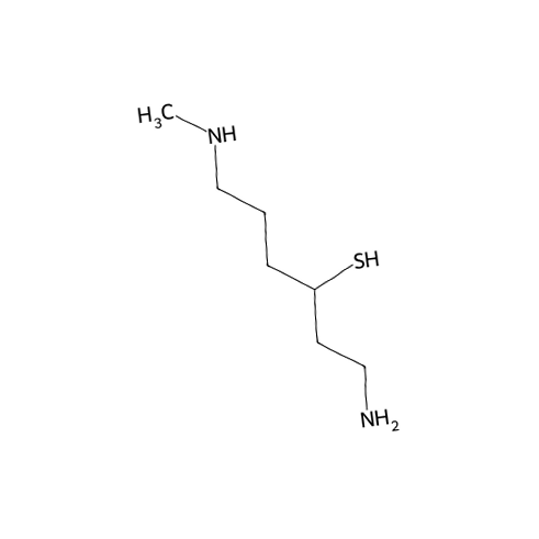 CNCCCC(S)CCN